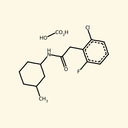 CC1CCCC(NC(=O)Cc2c(F)cccc2Cl)C1.O=C(O)O